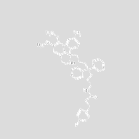 COc1cc2c(cc1OC)C(CCCC(CCCNC(=O)CCc1ccc(F)cc1)(c1ccccc1)c1ccccc1)(c1ccc(N)cc1)NCC2